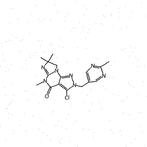 Cc1ncc(Cn2nc3c(c2Cl)C(=O)N(C)C2=NC(C)(C)CN23)cn1